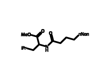 CCCCCCCCCCCCC(=O)NC(CC(C)C)C(=O)OC